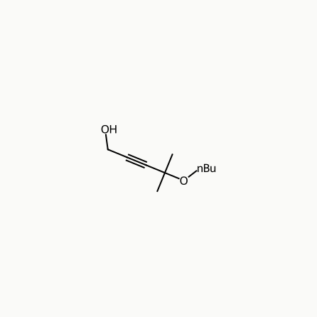 CCCCOC(C)(C)C#CCO